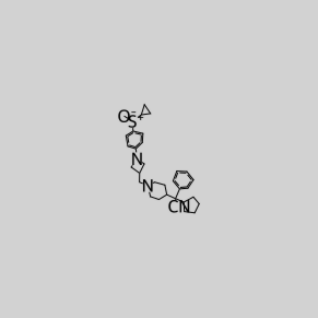 N#CC(c1ccccc1)(C1CCCC1)C1CCN(CC2CN(c3ccc([S+]([O-])C4CC4)cc3)C2)CC1